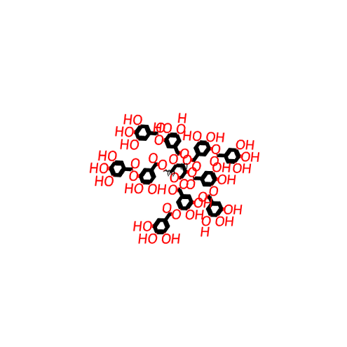 O=C(OC[C@H]1OC(OC(=O)c2cc(O)c(O)c(OC(=O)c3cc(O)c(O)c(O)c3)c2)C(OC(=O)c2cc(O)c(O)c(OC(=O)c3cc(O)c(O)c(O)c3)c2)[C@@H](OC(=O)c2cc(O)c(O)c(OC(=O)c3cc(O)c(O)c(O)c3)c2)C1OC(=O)c1cc(O)c(O)c(OC(=O)c2cc(O)c(O)c(O)c2)c1)c1cc(O)c(O)c(OC(=O)c2cc(O)c(O)c(O)c2)c1